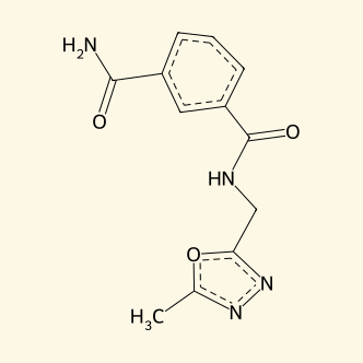 Cc1nnc(CNC(=O)c2cccc(C(N)=O)c2)o1